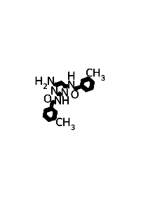 Cc1cccc(C(=O)Nc2cc(N)nc(NC(=O)c3cccc(C)c3)n2)c1